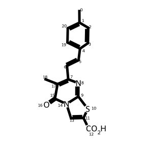 Cc1ccc(/C=C/c2nc3sc(C(=O)O)cn3c(=O)c2C)cc1